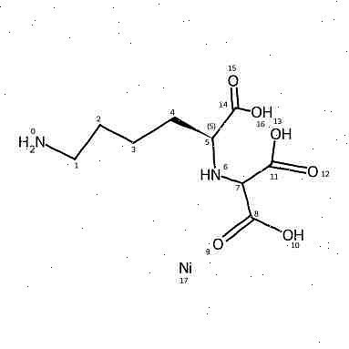 NCCCC[C@H](NC(C(=O)O)C(=O)O)C(=O)O.[Ni]